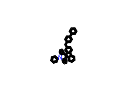 c1ccc(-c2ccc(Cc3ccc4c(c3)C3(c5ccccc5-4)c4ccccc4N(c4ccccc4)c4ccccc43)cc2)cc1